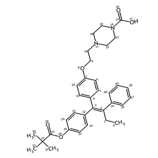 CC/C(=C(/c1ccc(OCCN2CCN(C(=O)O)CC2)cc1)c1ccc(OC(=O)C(C)(C)C)cc1)c1ccccc1